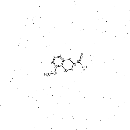 COc1cccc2c1SCC(C(=O)O)C2